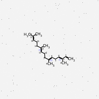 C=C/C(C)=C/C/C=C(\C)CC/C=C(\C)CCC=C(C)C